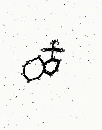 NS(=O)(=O)c1cccc2c1CCCCCC2